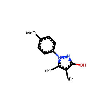 CCCc1c(O)nn(-c2ccc(OC)cc2)c1CCC